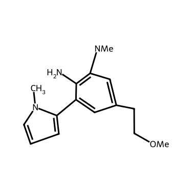 CNc1cc(CCOC)cc(-c2cccn2C)c1N